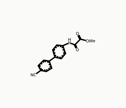 COC(=O)C(=O)Nc1ccc(-c2ccc(C#N)cc2)cc1